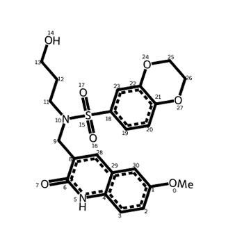 COc1ccc2[nH]c(=O)c(CN(CCCO)S(=O)(=O)c3ccc4c(c3)OCCO4)cc2c1